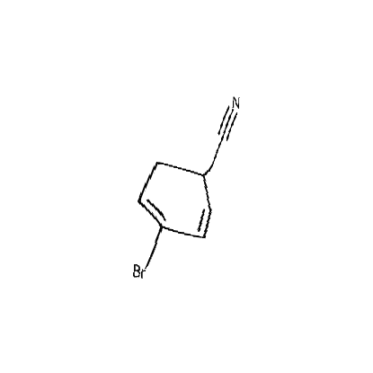 N#CC1C=CC(Br)=CC1